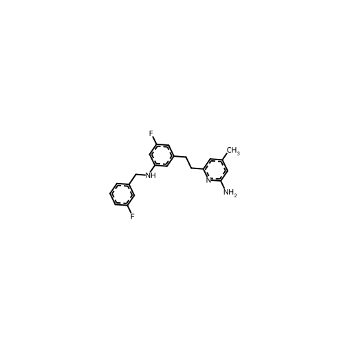 Cc1cc(N)nc(CCc2cc(F)cc(NCc3cccc(F)c3)c2)c1